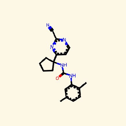 Cc1ccc(C)c(NC(=O)NC2(c3ccnc(C#N)n3)CCCC2)c1